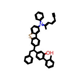 C#C/C=C\C=C(/C)N(c1ccccc1)c1ccc2sc3cc(C(Cc4ccccc4)c4ccc(-c5ccccc5C)c(O)c4)ccc3c2c1